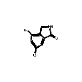 O=C1NCc2c(Br)cc(O)cc21